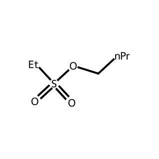 CCCCOS(=O)(=O)CC